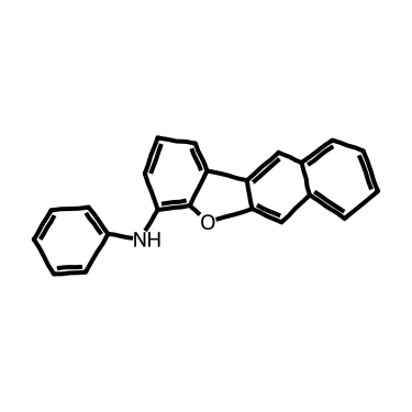 c1ccc(Nc2cccc3c2oc2cc4ccccc4cc23)cc1